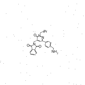 CC(C)Cn1nc(-c2ccc(CN)cc2)cc(CN2C(=O)c3ccccc3C2=O)c1=O